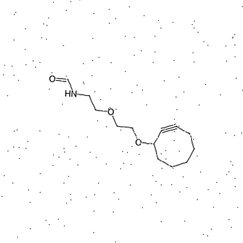 O=CNCCOCCOC1C#CCCCCC1